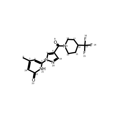 Cc1cc(-n2cc(C(=O)N3CCC(C(F)(F)F)CC3)cn2)[nH]c(=O)c1